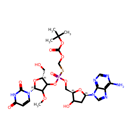 COC1C(OP(=O)(OC[C@H]2O[C@@H](n3cnc4c(N)ncnc43)CC2O)SCOC(=O)OC(C)(C)C)[C@@H](CO)O[C@H]1n1ccc(=O)[nH]c1=O